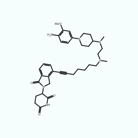 COc1cc(N2CCC(N(C)CCN(C)CCCCCC#Cc3cccc4c3CN(C3CCC(=O)NC3=O)C4=O)CC2)ccc1N